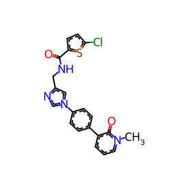 Cn1cccc(-c2ccc(-n3cnc(CNC(=O)c4ccc(Cl)s4)c3)cc2)c1=O